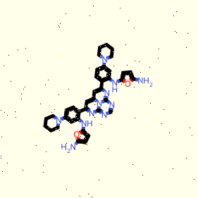 Nc1ccc(Nc2cc(N3CCCCC3)ccc2C2=CC3=CC(c4ccc(N5CCCCC5)cc4Nc4ccc(N)o4)=NC4=NC=NC(=N2)N34)o1